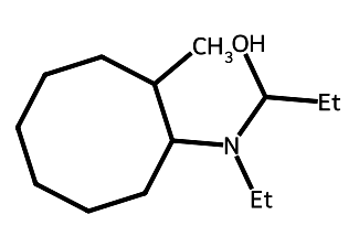 CCC(O)N(CC)C1CCCCCCC1C